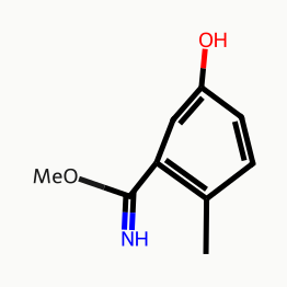 COC(=N)c1cc(O)ccc1C